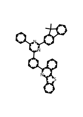 CC1(C)c2ccccc2-c2ccc(-c3nc(-c4ccccc4)cc(-c4cccc(-c5nc6c7ccccc7sc6c6ccccc56)c4)n3)cc21